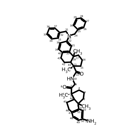 CC12CCC[C@](C)(C(=O)CNC(=O)[C@@]3(C)CCCC4(C)c5cc(N(Cc6ccccc6)Cc6ccccc6)ccc5CCC43)C1CCc1ccc(N)cc12